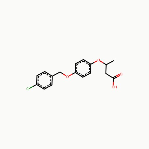 CC(CC(=O)O)Oc1ccc(OCc2ccc(Cl)cc2)cc1